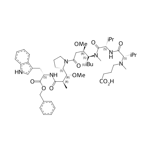 CC[C@H](C)[C@@H]([C@@H](CC(=O)N1CCC[C@H]1[C@H](OC)[C@@H](C)C(=O)N[C@@H](Cc1c[nH]c2ccccc12)C(=O)OCc1ccccc1)OC)N(C)C(=O)[C@@H](NC(=O)[C@H](C(C)C)N(C)CCCC(=O)O)C(C)C